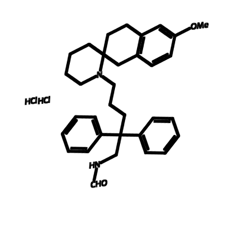 COc1ccc2c(c1)CCC1(CCCCN1CCCC(CNC=O)(c1ccccc1)c1ccccc1)C2.Cl.Cl